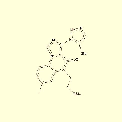 COCCn1c(=O)c2c(-n3nncc3C(C)(C)C)ncn2c2ccc(F)cc21